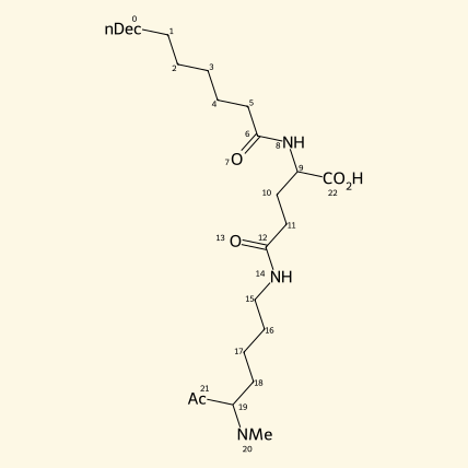 CCCCCCCCCCCCCCCC(=O)NC(CCC(=O)NCCCCC(NC)C(C)=O)C(=O)O